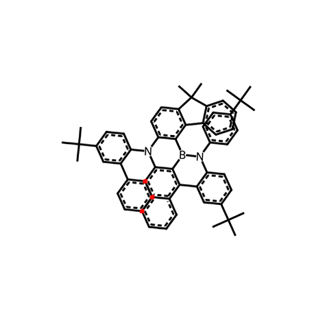 CC(C)(C)c1ccc(N2B3c4c(ccc5c4-c4ccccc4C5(C)C)N(c4ccc(C(C)(C)C)cc4-c4ccccc4)c4cc5ccccc5c(c43)-c3cc(C(C)(C)C)ccc32)cc1